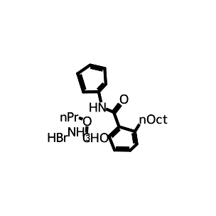 Br.CCCCCCCCc1ccccc1C(=O)Nc1ccccc1.CCCOC=O.N